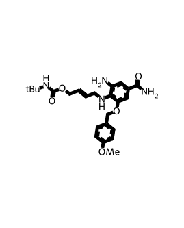 COc1ccc(COc2cc(C(N)=O)cc(N)c2NC/C=C/COC(=O)NC(C)(C)C)cc1